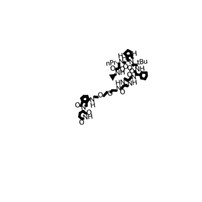 CCC[C@H](NC(=O)[C@@H]1[C@H]2CCC[C@H]2CN1C(=O)[C@@H](NC(=O)[C@@H](NC(=O)c1cnc(C(=O)NCCOCCOCCNc2cccc3c2CN(C2CCC(=O)NC2=O)C3=O)cn1)C1CCCCC1)C(C)(C)C)C(=O)C(=O)NC1CC1